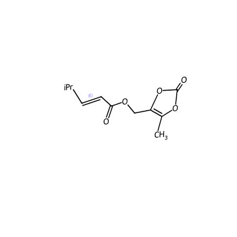 Cc1oc(=O)oc1COC(=O)/C=C/C(C)C